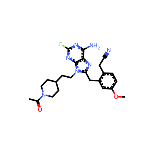 COc1ccc(CC#N)c(Cc2nc3c(N)nc(F)nc3n2CCC2CCN(C(C)=O)CC2)c1